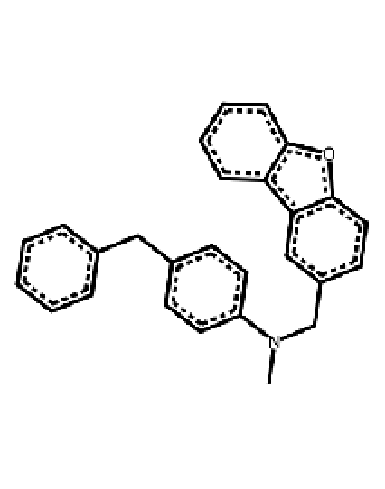 CN(Cc1ccc2oc3ccccc3c2c1)c1ccc(Cc2ccccc2)cc1